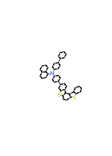 c1ccc(-c2ccc(N(c3ccc(-c4ccc5c(c4)sc4ccc6sc7ccccc7c6c45)cc3)c3cccc4ccccc34)cc2)cc1